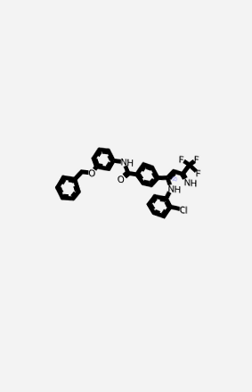 N=C(/C=C(\Nc1ccccc1Cl)c1ccc(C(=O)Nc2cccc(OCc3ccccc3)c2)cc1)C(F)(F)F